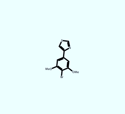 COc1cc(-c2cscn2)cc(OC)c1Br